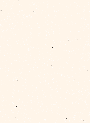 Cc1ccc2[nH]c3c(c2c1)C(C)c1c-3cc(C(C)(C)C)c[c]1[Zr]([Cl])([Cl])[Cl]